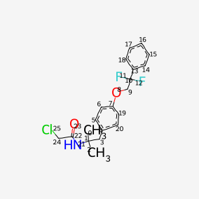 CC(C)(Cc1ccc(OCC(F)(F)c2ccccc2)cc1)NC(=O)CCl